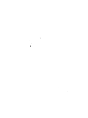 CCCCOC(=O)CCCCCCN1C(=S)CC[C@@H]1CO